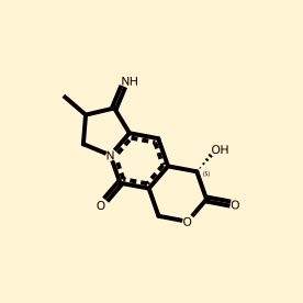 CC1Cn2c(cc3c(c2=O)COC(=O)[C@H]3O)C1=N